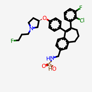 O=[SH](=O)NCc1ccc2c(c1)CCCC(c1cccc(F)c1Cl)=C2c1ccc(O[C@H]2CCN(CCCF)C2)cc1